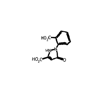 O=C(O)c1cc(=O)n(-c2ccccc2C(=O)O)[nH]1